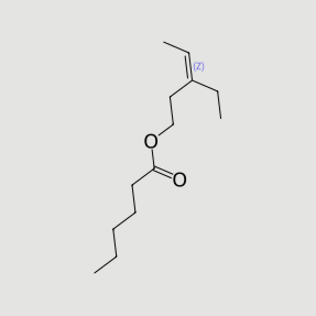 C/C=C(/CC)CCOC(=O)CCCCC